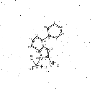 Nc1nc2c(-c3ccccc3)cccc2n1C(F)(F)F